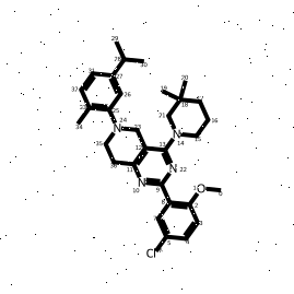 COc1ccc(Cl)cc1-c1nc2c(c(N3CCCC(C)(C)C3)n1)CN(c1cc(C(C)C)ccc1C)CC2